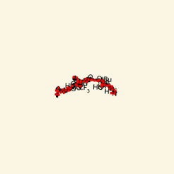 Cc1ncsc1-c1ccc([C@H](C)NC(=O)[C@@H]2C[C@@H](O)CN2C(=O)[C@@H](NC(=O)CCCCCC(=O)N2CCN(CC[C@H](CSc3ccccc3)Nc3ccc(S(=O)(=O)NC(=O)c4ccc(N5CCN(CC6=C(C78CC(C)(C7)C8)CCC(C)(C)C6)CC5)cc4)cc3S(=O)(=O)C(F)(F)F)CC2)C(C)(C)C)cc1